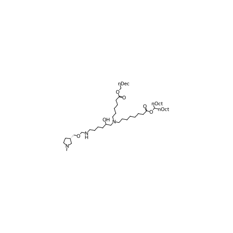 CCCCCCCCCCCOC(=O)CCCCCN(CCCCCCCC(=O)OC(CCCCCCCC)CCCCCCCC)CC(O)CCCCNCOC[C@H]1CCN(C)C1